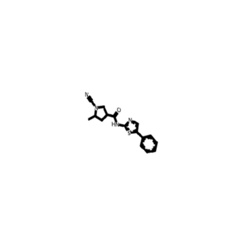 CC1CC(C(=O)Nc2ncc(-c3ccccc3)s2)CN1C#N